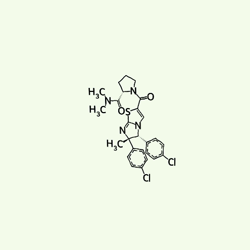 CN(C)C(=O)[C@@H]1CCCN1C(=O)C1=CN2C(=N[C@@](C)(c3ccc(Cl)cc3)[C@H]2c2ccc(Cl)cc2)S1